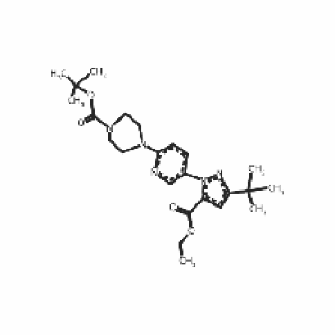 CCOC(=O)c1cc(C(C)(C)C)nn1-c1ccc(N2CCN(C(=O)OC(C)(C)C)CC2)nc1